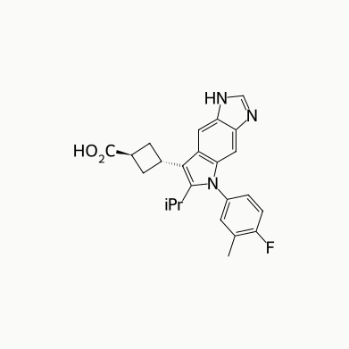 Cc1cc(-n2c(C(C)C)c([C@H]3C[C@H](C(=O)O)C3)c3cc4[nH]cnc4cc32)ccc1F